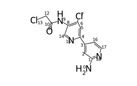 Nc1cc(-c2cc(Cl)c(NC(=O)CCl)cn2)ccn1